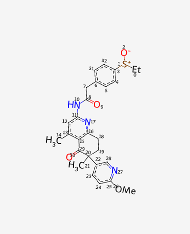 CC[S+]([O-])c1ccc(CC(=O)Nc2cc(C)c3c(n2)CCC(C)(c2ccc(OC)nc2)C3=O)cc1